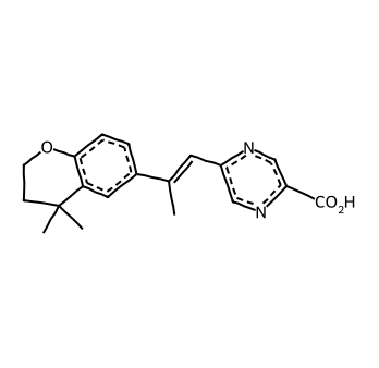 CC(=Cc1cnc(C(=O)O)cn1)c1ccc2c(c1)C(C)(C)CCO2